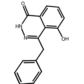 O=c1[nH]nc(Cc2ccccc2)c2c(O)cccc12